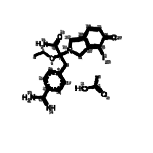 CC(=O)O.CCOC(Cc1ccc(C(=N)N)cc1)(C(N)=O)N1C=C2C=CC(=O)C(F)=C2C1